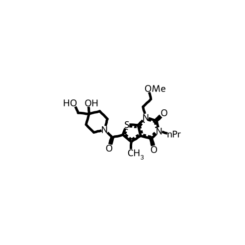 CCCn1c(=O)c2c(C)c(C(=O)N3CCC(O)(CO)CC3)sc2n(CCOC)c1=O